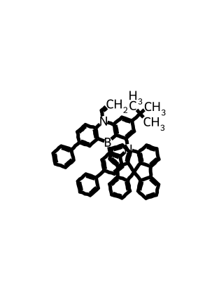 C=CN1c2ccc(-c3ccccc3)cc2B2c3cc(-c4ccccc4)ccc3N(c3cccc4c3C3(c5ccccc5-c5ccccc53)c3ccccc3-4)c3cc(C(C)(C)C)cc1c32